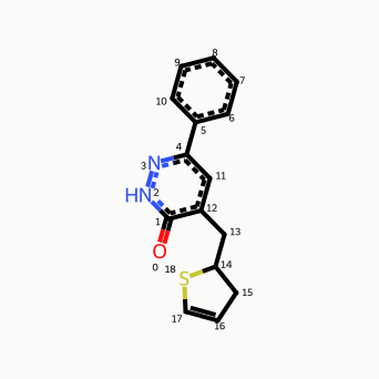 O=c1[nH]nc(-c2ccccc2)cc1CC1CC=CS1